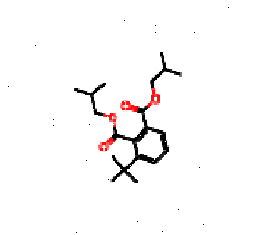 CC(C)COC(=O)c1cccc(C(C)(C)C)c1C(=O)OCC(C)C